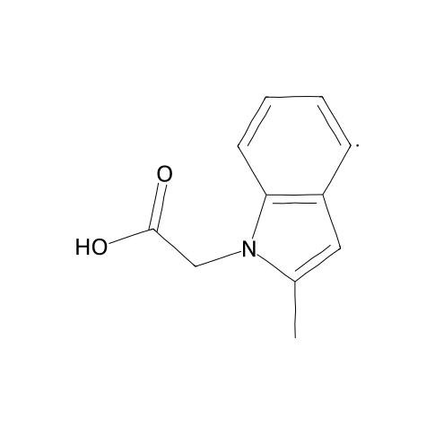 Cc1cc2[c]cccc2n1CC(=O)O